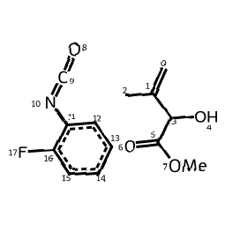 C=C(C)C(O)C(=O)OC.O=C=Nc1ccccc1F